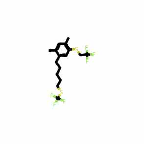 Cc1cc(C)c(SCC(F)(F)F)cc1CCCCCSC(F)(F)F